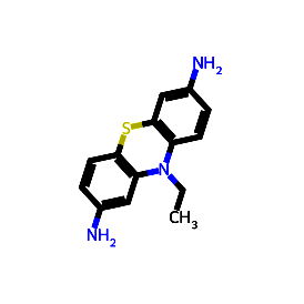 CCN1c2ccc(N)cc2Sc2ccc(N)cc21